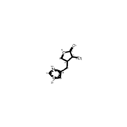 CCC1C(=O)OCC1Cc1cscn1